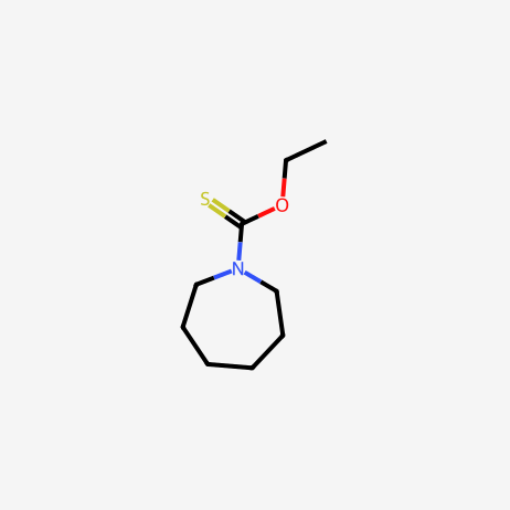 CCOC(=S)N1CCCCCC1